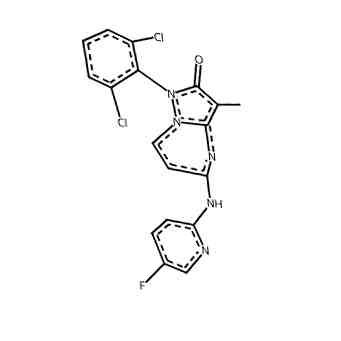 Cc1c(=O)n(-c2c(Cl)cccc2Cl)n2ccc(Nc3ccc(F)cn3)nc12